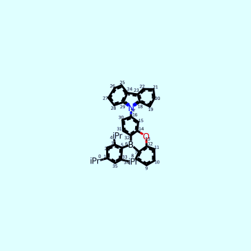 CC(C)c1cc(C(C)C)c(B2c3ccccc3Oc3cc(-n4c5ccccc5c5ccccc54)ccc32)c(C(C)C)c1